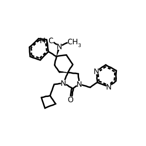 CN(C)[C@]1(c2ccccc2)CC[C@@]2(CC1)CN(Cc1ncccn1)C(=O)N2CC1CCC1